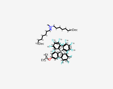 CCCCCCCCCCCCCCCC[NH+](C)CCCCCCCCCCCCCCCC.C[CH2][Al]([CH2]C)[O]c1ccc([B-](c2c(F)c(F)c(F)c(F)c2F)(c2c(F)c(F)c(F)c(F)c2F)c2c(F)c(F)c(F)c(F)c2F)cc1